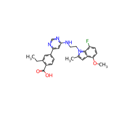 CCc1cc(-c2cc(NCCn3c(C)cc4c(OC)ccc(F)c43)ncn2)ccc1C(=O)O